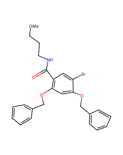 COCCCNC(=O)c1cc(Br)c(OCc2ccccc2)cc1OCc1ccccc1